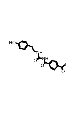 O=C(NCCc1ccc(O)cc1)NC(=O)c1ccc(C(=O)I)cc1